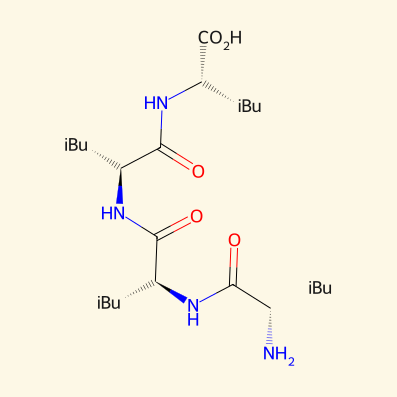 CC[C@H](C)[C@H](N)C(=O)N[C@H](C(=O)N[C@H](C(=O)N[C@H](C(=O)O)[C@@H](C)CC)[C@@H](C)CC)[C@@H](C)CC